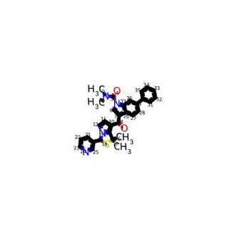 CN(C)C(=O)n1cc(C(=O)c2ccn3c2C(C)(C)SC3c2cccnc2)c2ccc(-c3ccccc3)cc21